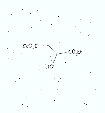 CCOC(=O)CC(O)C(=O)OCC